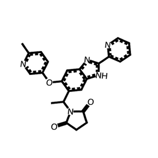 Cc1ccc(Oc2cc3nc(-c4ccccn4)[nH]c3cc2C(C)N2C(=O)CCC2=O)cn1